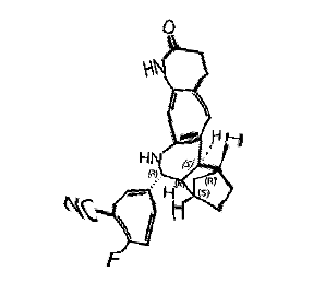 N#Cc1cc([C@@H]2Nc3cc4c(cc3[C@H]3[C@@H]5CC[C@@H](C5)[C@H]32)CCC(=O)N4)ccc1F